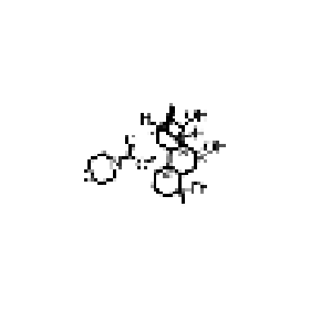 C=C1[C@H]2CC[C@]3(C(C2)[C@]2(COC(=O)N4CCOCC4)CCC[C@@](C)(CC)C2C[C@H]3O)[C@H]1O